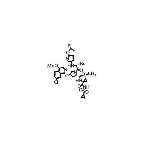 C=C[C@@H]1C[C@]1(NC(=O)[C@@H]1C[C@@H](Oc2ncc(OC)c3ccc(Cl)cc23)CN1C(=O)[C@H](Nc1ccc(OC(F)F)nc1)C(C)(C)C)C(=O)NS(=O)(=O)C1CC1